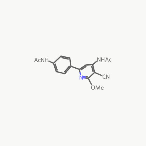 COc1nc(-c2ccc(NC(C)=O)cc2)cc(NC(C)=O)c1C#N